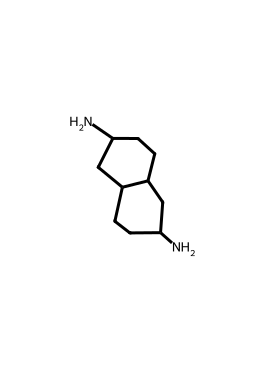 NC1CCC2CC(N)CCC2C1